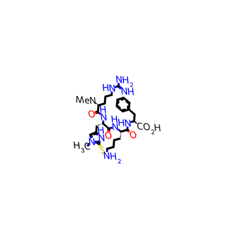 CN[C@H](CCCNC(=N)N)C(=O)N[C@@H](Cc1cn(C)c(=S)[nH]1)C(=O)N[C@@H](CCCCN)C(=O)N[C@@H](Cc1ccccc1)C(=O)O